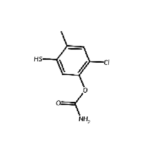 Cc1cc(Cl)c(OC(N)=O)cc1S